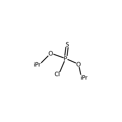 CC(C)OP(=S)(Cl)OC(C)C